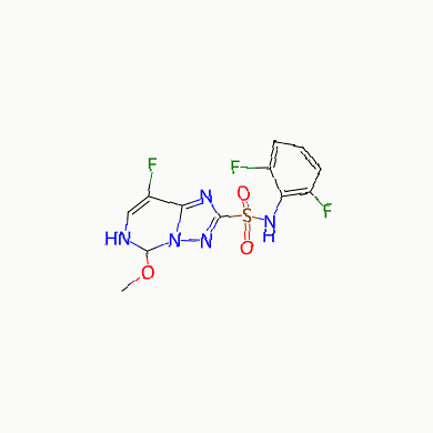 COC1NC=C(F)c2nc(S(=O)(=O)Nc3c(F)cccc3F)nn21